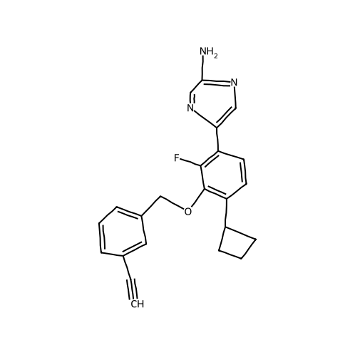 C#Cc1cccc(COc2c(C3CCC3)ccc(-c3cnc(N)cn3)c2F)c1